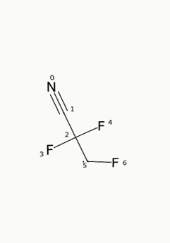 N#CC(F)(F)[CH]F